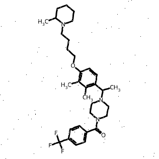 Cc1c(OCCCCN2CCCCC2C)ccc(C(C)N2CCN(C(=O)c3ccc(C(F)(F)F)cc3)CC2)c1C